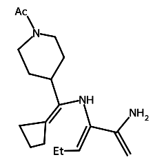 C=C(N)/C(=C/CC)NC(=C1CCC1)C1CCN(C(C)=O)CC1